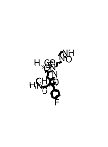 CNC1OC1c1c(-c2ccc(F)cc2)oc2nc(N(CCCN3CCNC3=O)S(C)(=O)=O)c(I)cc12